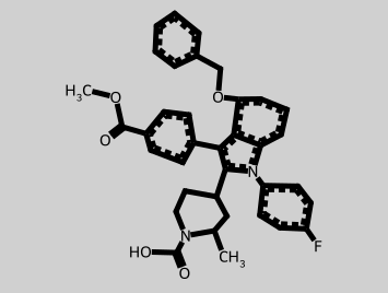 COC(=O)c1ccc(-c2c(C3CCN(C(=O)O)C(C)C3)n(-c3ccc(F)cc3)c3cccc(OCc4ccccc4)c23)cc1